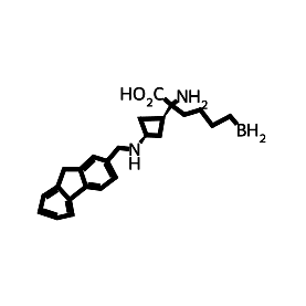 BCCCCC(N)(C(=O)O)[C@H]1C[C@@H](NCc2ccc3c(c2)Cc2ccccc2-3)C1